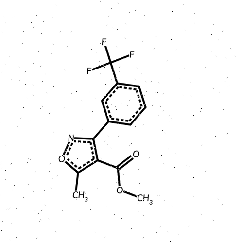 COC(=O)c1c(-c2cccc(C(F)(F)F)c2)noc1C